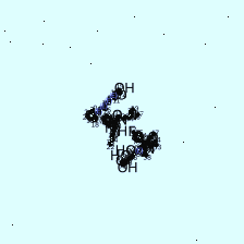 CC1=C(/C=C/C(C)=C/C=C/C(C)=C/C(=O)O)C(C)(C)CCC1.CCCCOc1cc(C(=O)NCCN(CC)CC)c2ccccc2n1.COCc1c(C(C)C)nc(C(C)C)c(/C=C/[C@@H](O)C[C@@H](O)CC(=O)O)c1-c1ccc(F)cc1